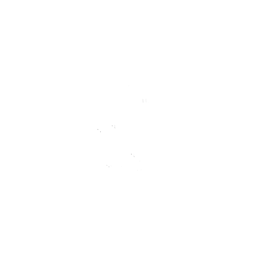 C[Si](C)(C)CCOCn1cnc2ccc([C@H](N3C(=O)c4ccccc4C3=O)C3(C#N)CC3)cc21